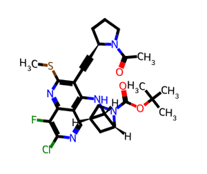 CSc1nc2c(F)c(Cl)ncc2c(N[C@H]2[C@@H]3C[C@H]2N(C(=O)OC(C)(C)C)C3)c1C#C[C@H]1CCCN1C(C)=O